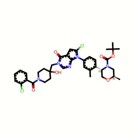 Cc1cc(-n2c(Cl)cc3c(=O)n(CC4(O)CCN(C(=O)c5ccccc5Cl)CC4)cnc32)ccc1[C@H]1CO[C@H](C)CN1C(=O)OC(C)(C)C